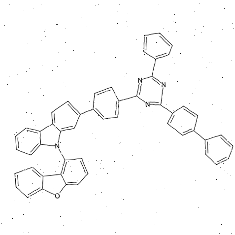 c1ccc(-c2ccc(-c3nc(-c4ccccc4)nc(-c4ccc(-c5ccc6c7ccccc7n(-c7cccc8oc9ccccc9c78)c6c5)cc4)n3)cc2)cc1